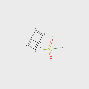 O=S(=O)(Cl)Cl.c1cc2ccc1-2